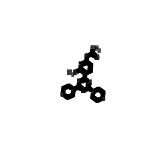 CC(=O)Oc1ccc(-c2nc(N3CCOCC3)nc(N3CCOCC3)n2)c(C)n1